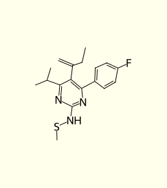 C=C(CC)c1c(-c2ccc(F)cc2)nc(NSC)nc1C(C)C